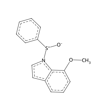 COc1cccc2ccn([S+]([O-])c3ccccc3)c12